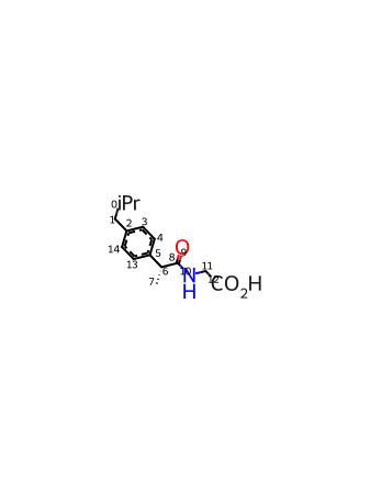 CC(C)Cc1ccc([C@@H](C)C(=O)NCC(=O)O)cc1